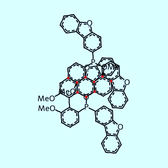 COc1cccc(Oc2cccc(OC)c2-c2c(OC)cccc2P(c2ccc3oc4ccccc4c3c2)c2ccc3oc4ccccc4c3c2)c1-c1c(OC)cccc1P(c1ccc2oc3ccccc3c2c1)c1ccc2oc3ccccc3c2c1